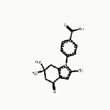 Cc1cc2c(n1-c1ccc(C(=O)O)cc1)CC(C)(C)CC2=O